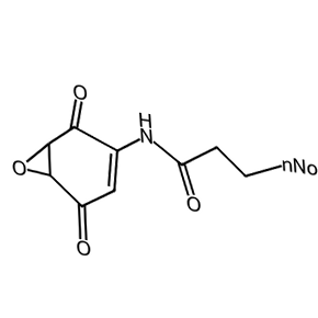 CCCCCCCCCCCC(=O)NC1=CC(=O)C2OC2C1=O